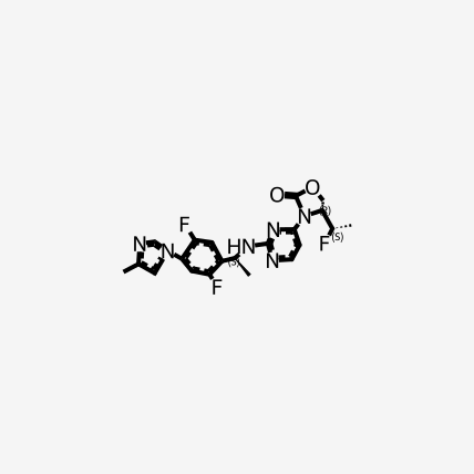 Cc1cn(-c2cc(F)c([C@H](C)Nc3nccc(N4C(=O)OC[C@@H]4[C@H](C)F)n3)cc2F)cn1